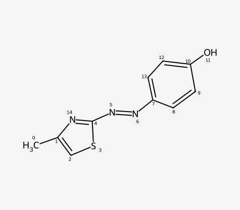 Cc1csc(N=Nc2ccc(O)cc2)n1